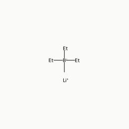 CC[B-](C)(CC)CC.[Li+]